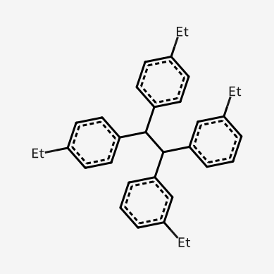 CCc1ccc(C(c2ccc(CC)cc2)C(c2cccc(CC)c2)c2cccc(CC)c2)cc1